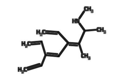 C=CC(C=C)=C/C(C=C)=C(\C)C(C)NC